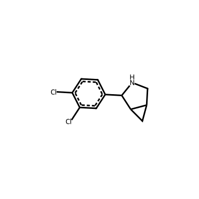 Clc1ccc(C2NCC3CC32)cc1Cl